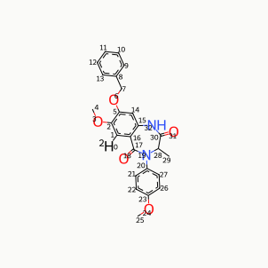 [2H]c1c(OC)c(OCc2ccccc2)cc2c1C(=O)N(c1ccc(OC)cc1)C(C)C(=O)N2